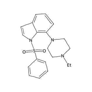 CCN1CCN(c2cccc3ccn(S(=O)(=O)c4ccccc4)c23)CC1